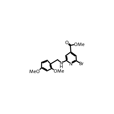 COC(=O)c1cc(Br)nc(NCc2ccc(OC)cc2OC)c1